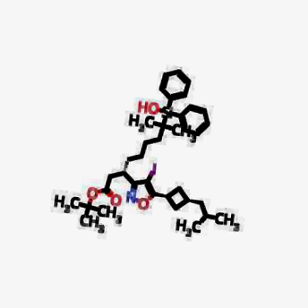 CC(C)C[C@H]1C[C@@H](c2onc([C@@H](CCCCC(C)(C)[Si](O)(c3ccccc3)c3ccccc3)CC(=O)OC(C)(C)C)c2I)C1